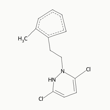 Cc1ccccc1CCN1NC(Cl)=CC=C1Cl